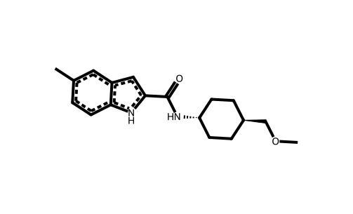 COC[C@H]1CC[C@H](NC(=O)c2cc3cc(C)ccc3[nH]2)CC1